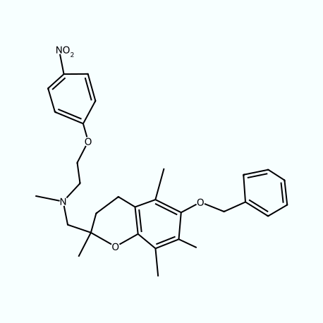 Cc1c(C)c2c(c(C)c1OCc1ccccc1)CCC(C)(CN(C)CCOc1ccc([N+](=O)[O-])cc1)O2